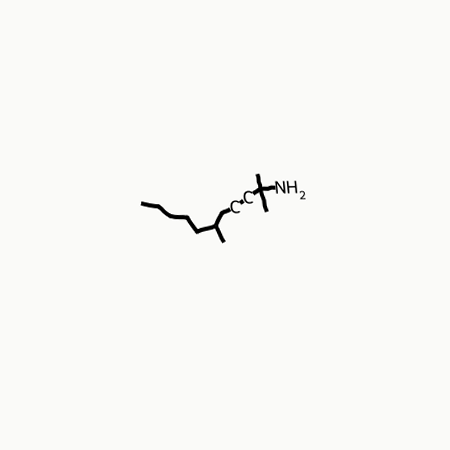 CCCCCC(C)CCCC(C)(C)N